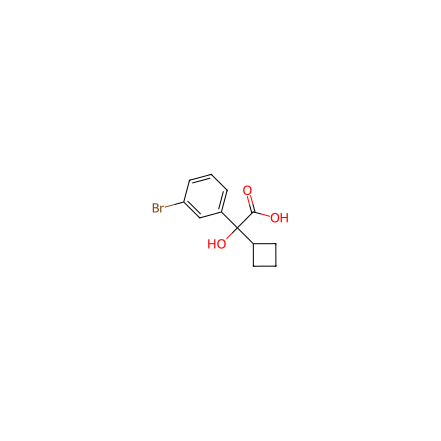 O=C(O)C(O)(c1cccc(Br)c1)C1CCC1